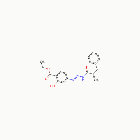 C=C(Cc1ccccc1)C(=O)NN=Nc1ccc(C(=O)OCC)c(O)c1